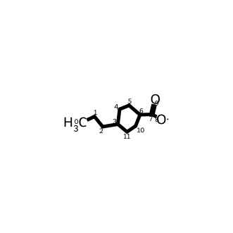 CCCC1CCC(C([O])=O)CC1